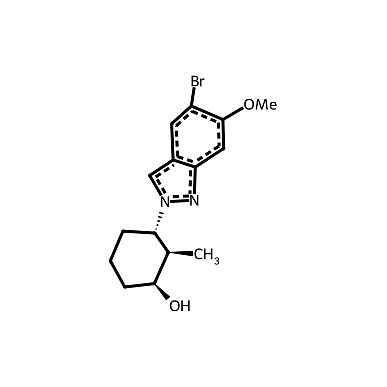 COc1cc2nn([C@H]3CCC[C@H](O)[C@@H]3C)cc2cc1Br